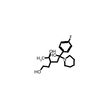 CC(O)C(CCO)CC(O)(c1ccc(F)cc1)N1CCCCC1